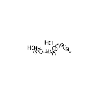 Cl.O=C(NO)c1ccc(C#CCNC(=O)c2cc3cc(OC4CCN(C5CC5)CC4)ccc3o2)cc1